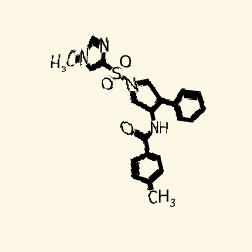 Cc1ccc(C(=O)NC2CN(S(=O)(=O)c3cn(C)cn3)CC2c2ccccc2)cc1